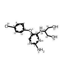 Nc1ncc(Oc2ccc(Cl)cc2)c(NC(CO)CO)n1